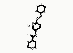 O=C(Oc1ccc(OCC2CCCCC2)nc1)C1CCOCC1.[Li]